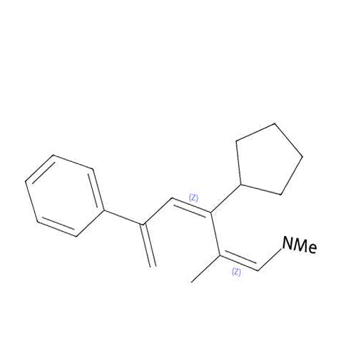 C=C(/C=C(\C(C)=C/NC)C1CCCC1)c1ccccc1